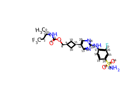 C[C@@H](CC(F)(F)F)NC(=O)OC[C@H]1C[C@@H](c2cnc(Nc3ccc(S(N)(=O)=O)cc3F)nc2)C1